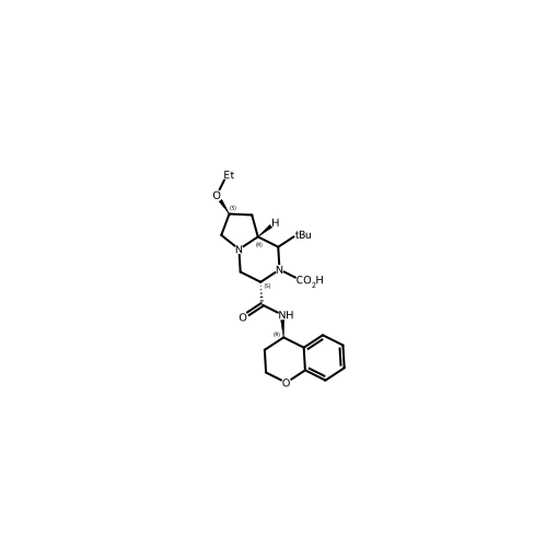 CCO[C@H]1C[C@@H]2C(C(C)(C)C)N(C(=O)O)[C@H](C(=O)N[C@@H]3CCOc4ccccc43)CN2C1